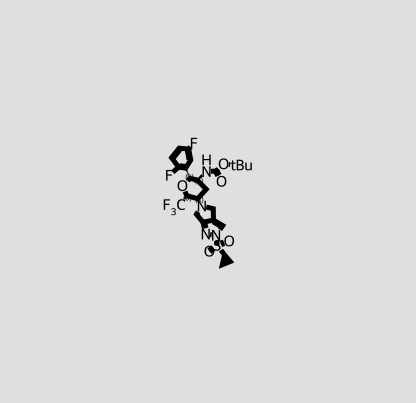 CC(C)(C)OC(=O)N[C@H]1C[C@@H](N2Cc3cn(S(=O)(=O)C4CC4)nc3C2)[C@@H](C(F)(F)F)O[C@@H]1c1cc(F)ccc1F